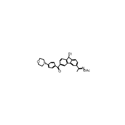 CCC1c2ccc(C(=O)c3ccc(N4CCOCC4)cc3)cc2-c2cc(C(C)=NOC(C)=O)ccc21